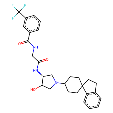 O=C(CNC(=O)c1cccc(C(F)(F)F)c1)N[C@H]1CN(C2CCC3(CCc4ccccc43)CC2)CC1O